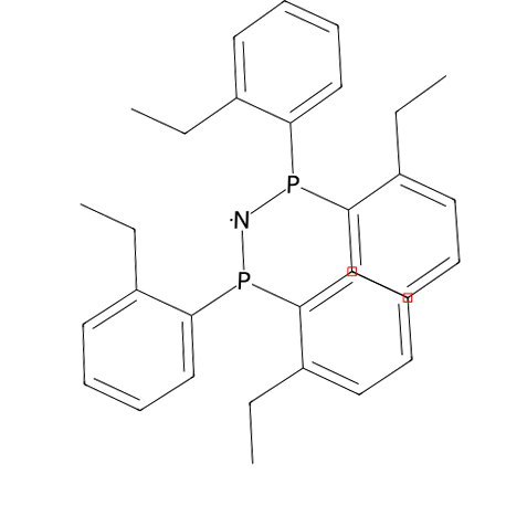 CCc1ccccc1P([N]P(c1ccccc1CC)c1ccccc1CC)c1ccccc1CC